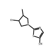 CCC1CN(c2ncc(C#N)s2)CC1C